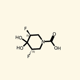 O=C(O)N1C[C@H](F)C(O)(O)[C@@H](F)C1